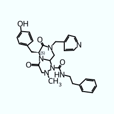 CN1CC(=O)N2C(CN(Cc3ccncc3)C(=O)[C@@H]2Cc2ccc(O)cc2)N1C(=O)NCCc1ccccc1